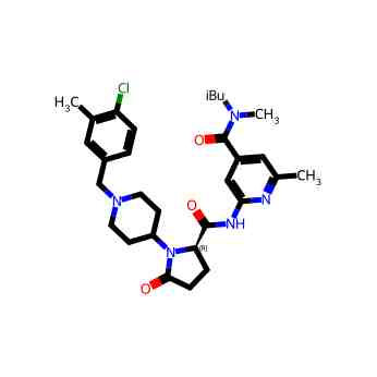 CCC(C)N(C)C(=O)c1cc(C)nc(NC(=O)[C@H]2CCC(=O)N2C2CCN(Cc3ccc(Cl)c(C)c3)CC2)c1